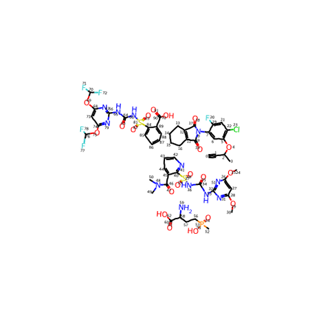 C#CC(C)Oc1cc(N2C(=O)C3=C(CCCC3)C2=O)c(F)cc1Cl.COc1cc(OC)nc(NC(=O)NS(=O)(=O)c2ncccc2C(=O)N(C)C)n1.CP(=O)(O)CCC(N)C(=O)O.O=C(Nc1nc(OC(F)F)cc(OC(F)F)n1)NS(=O)(=O)c1ccccc1C(=O)O